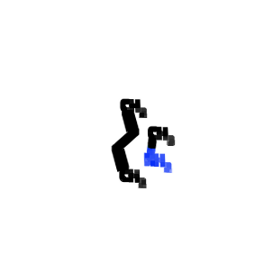 C=CC=C.CN